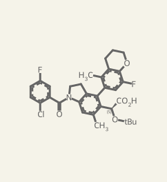 Cc1cc2c(c(-c3cc(F)c4c(c3C)CCCO4)c1[C@H](OC(C)(C)C)C(=O)O)CCN2C(=O)c1cc(F)ccc1Cl